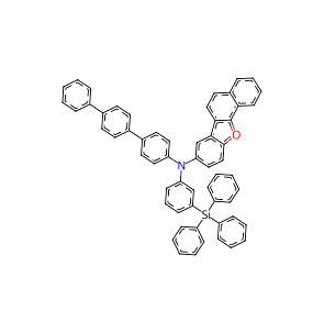 c1ccc(-c2ccc(-c3ccc(N(c4cccc([Si](c5ccccc5)(c5ccccc5)c5ccccc5)c4)c4ccc5oc6c7ccccc7ccc6c5c4)cc3)cc2)cc1